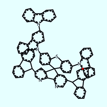 c1ccc2c(c1)-c1ccccc1C2c1cnc2c(c1)C1(c3ccc(-n4c5ccccc5c5ccccc54)cc3Sc3cc(-n4c5ccccc5c5cc(-n6c7ccccc7c7ccccc76)ccc54)ccc31)c1cc(C3c4ccccc4-c4ccccc43)cnc1-2